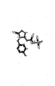 Cc1ccc(CN2C(=O)CCC2CC(=O)NS(C)(=O)=O)cc1